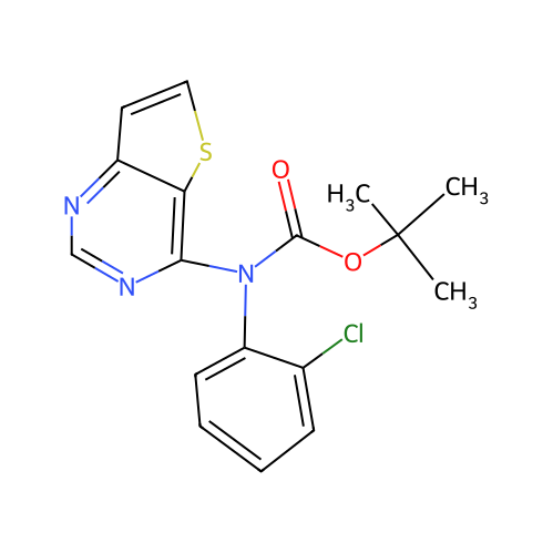 CC(C)(C)OC(=O)N(c1ccccc1Cl)c1ncnc2ccsc12